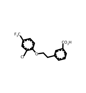 O=C(O)c1cccc(CCOc2ccc(C(F)(F)F)cc2Cl)c1